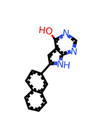 Oc1ncnc2[nH]c(-c3ccc4ccccc4c3)cc12